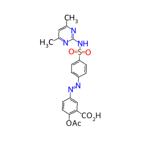 CC(=O)Oc1ccc(N=Nc2ccc(S(=O)(=O)Nc3nc(C)cc(C)n3)cc2)cc1C(=O)O